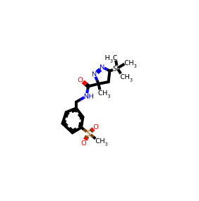 CC1(C(=O)NCc2cccc(S(C)(=O)=O)c2)CC([Si](C)(C)C)N=N1